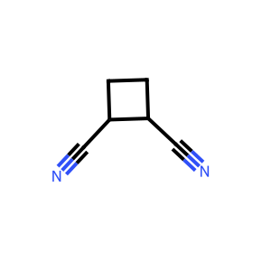 N#CC1CCC1C#N